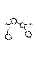 O=Cc1cn(-c2ccnc(C(=O)OCc3ccccc3)n2)nc1-c1ccccc1